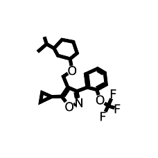 CC(C)C1CCCC(OCc2c(-c3ccccc3OC(F)(F)F)noc2C2CC2)C1